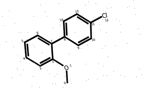 COc1c[c]ccc1-c1ccc(Cl)cc1